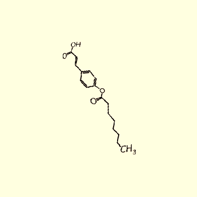 CCCCCCCC(=O)Oc1ccc(C=CC(=O)O)cc1